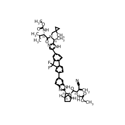 C=C(C#N)[C@H](NC(=O)OC)C(=O)N1[C@@H]2CC[C@@H](C2)[C@H]1c1nc2ccc(-c3ccc4c(c3)C(F)(F)c3cc(-c5cnc([C@H](C)N(CC6(C)CC6)C(=O)[C@@H](NC(=O)OC)C(C)C)[nH]5)ccc3-4)cc2[nH]1